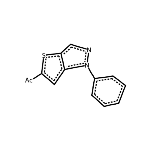 CC(=O)c1cc2c(cnn2-c2ccccc2)s1